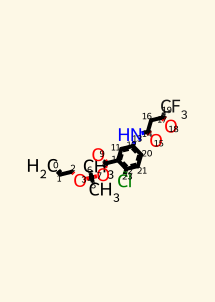 C=CCOC(C)(C)OC(=O)c1cc(NC(=O)CC(=O)C(F)(F)F)ccc1Cl